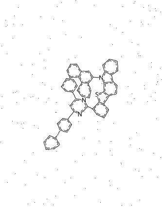 c1ccc(-c2ccc(-c3cc(-c4ccccc4)nc(-c4cccc5c4sc4c5ccc5c6ccccc6n(-c6cc7ccccc7c7ccccc67)c54)n3)cc2)cc1